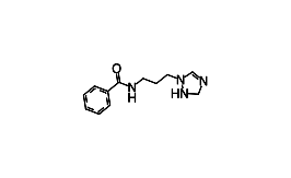 O=C(NCCCN1C=NCN1)c1ccccc1